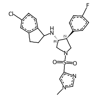 Cn1cnc(S(=O)(=O)N2C[C@H](NC3CCc4cc(Cl)ccc43)[C@@H](c3ccc(F)cc3)C2)c1